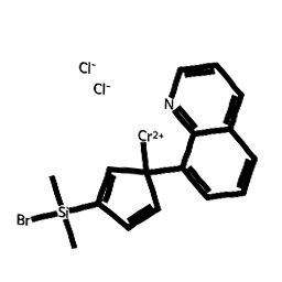 C[Si](C)(Br)C1=C[C]([Cr+2])(c2cccc3cccnc23)C=C1.[Cl-].[Cl-]